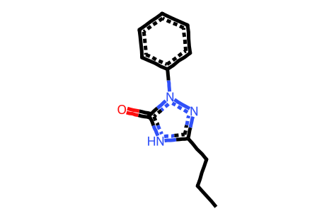 CCCc1nn(-c2ccccc2)c(=O)[nH]1